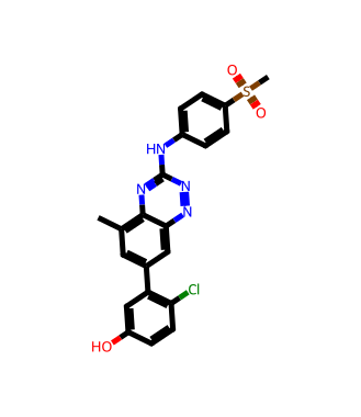 Cc1cc(-c2cc(O)ccc2Cl)cc2nnc(Nc3ccc(S(C)(=O)=O)cc3)nc12